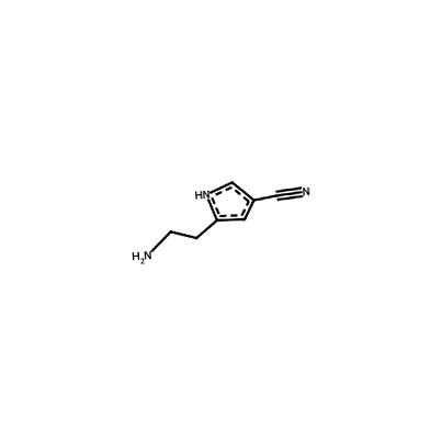 N#Cc1c[nH]c(CCN)c1